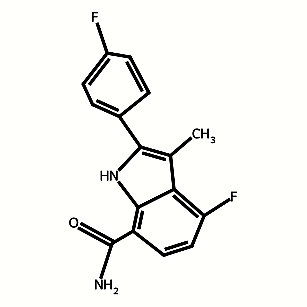 Cc1c(-c2ccc(F)cc2)[nH]c2c(C(N)=O)ccc(F)c12